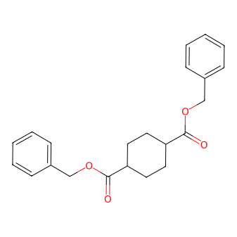 O=C(OCc1ccccc1)C1CCC(C(=O)OCc2ccccc2)CC1